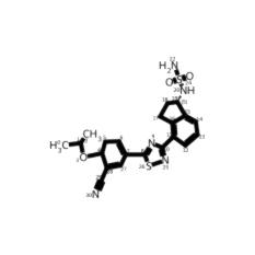 CC(C)OC1CC=C(c2nc(-c3cccc4c3CC[C@@H]4NS(N)(=O)=O)ns2)C=C1C#N